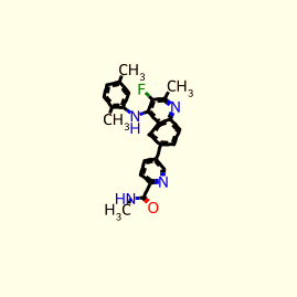 CNC(=O)c1ccc(-c2ccc3nc(C)c(F)c(Nc4cc(C)ccc4C)c3c2)cn1